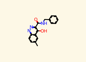 Cc1ccc2nnc(C(=O)NCc3ccccc3)c(O)c2c1